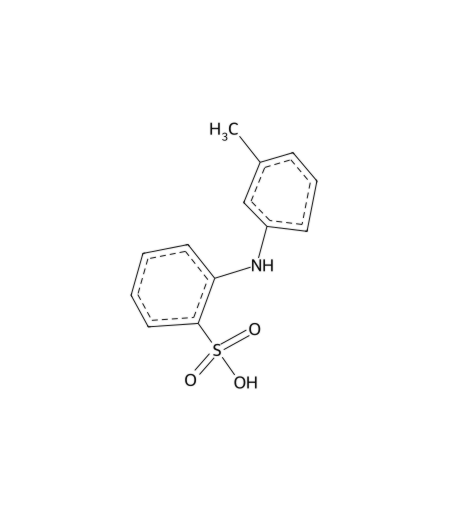 Cc1cccc(Nc2ccccc2S(=O)(=O)O)c1